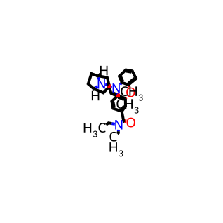 CCN(CC)C(=O)c1ccc2c(c1)Oc1ccccc1N2[C@H]1C[C@H]2CC[C@@H](C1)N2CC=C(C)C